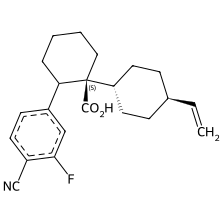 C=C[C@H]1CC[C@H]([C@@]2(C(=O)O)CCCCC2c2ccc(C#N)c(F)c2)CC1